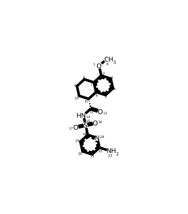 COc1cccc2c1CCC[C@H]2C(=O)NS(=O)(=O)c1cccc(N)n1